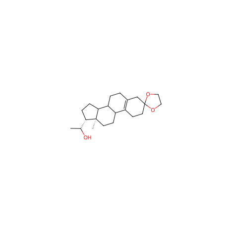 CC(O)[C@@H]1CCC2C3CCC4=C(CCC5(C4)OCCO5)C3CC[C@]21C